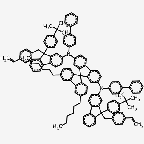 C=Cc1ccc(CC2(c3ccc(C(C)(C)C)cc3)c3ccccc3-c3ccc(N(c4ccc(-c5ccccc5)cc4)c4ccc5c(c4)C4(c6ccc(CCCCCC)cc6-c6cc(CCCCCC)ccc64)c4cc(N(c6ccc(-c7ccccc7)cc6)c6ccc7c(c6)C(Cc6ccc(C=C)cc6)(c6ccc(C(C)(C)C)cc6)c6ccccc6-7)ccc4-5)cc32)cc1